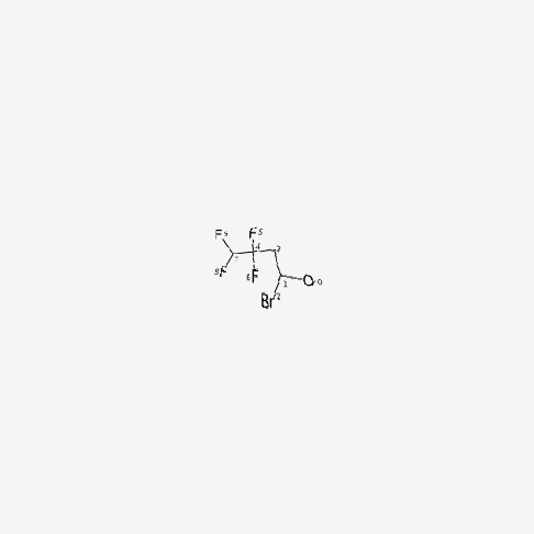 [O]C(Br)CC(F)(F)C(F)F